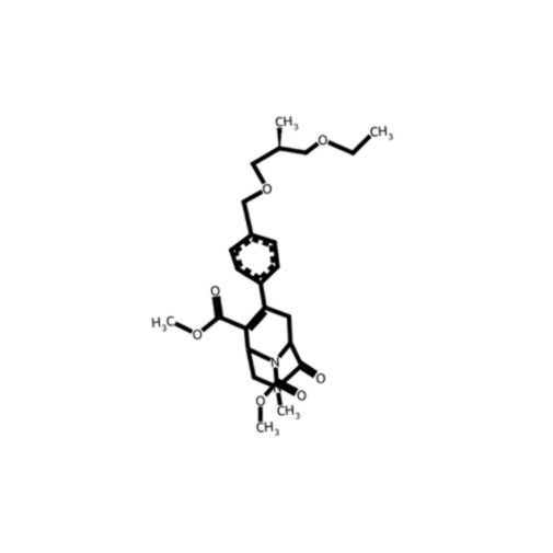 CCOC[C@H](C)COCc1ccc(C2=C(C(=O)OC)C3CN(C)C(=O)C(C2)N3C(=O)OC)cc1